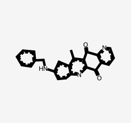 Cc1c2c(nc3ccc(NCc4ccccc4)cc13)C(=O)c1cccnc1C2=O